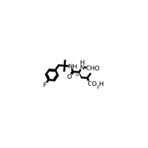 CC(C[C@H](NC=O)C(=O)NC(C)(C)Cc1ccc(F)cc1)C(=O)O